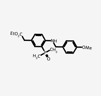 CCOC(=O)Cc1ccc(NCc2ccc(OC)cc2)c(P(C)(C)=O)c1